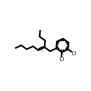 CCCC/C=C(\CCC)Cc1cccc(Cl)c1Cl